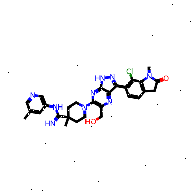 Cc1cncc(NC(=N)C2(C)CCN(c3nc4[nH]nc(-c5ccc6c(c5Cl)N(C)C(=O)C6)c4nc3CO)CC2)c1